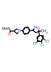 CNC(=O)C1CN(c2ccc(C3=NOC(C)(c4cc(Cl)c(Cl)c(Cl)c4)C3)cc2)C1